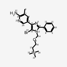 Cc1cc(-c2nc(-c3ccccc3)n(COCC[Si](C)(C)C)c2Br)cnc1N